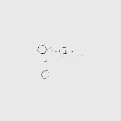 CCCS(=O)(=O)c1csc(NC(=O)c2ccccc2OC(=O)Oc2ccccn2)n1